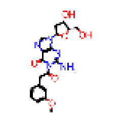 COc1cccc(CC(=O)n2c(N)nc3c(ncn3[C@H]3C[C@H](O)[C@@H](CO)O3)c2=O)c1